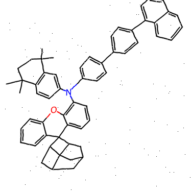 CC1(C)CCC(C)(C)c2cc(N(c3ccc(-c4ccc(-c5cccc6ccccc56)cc4)cc3)c3cccc4c3Oc3ccccc3C43C4CC5CC6CC3C64C5)ccc21